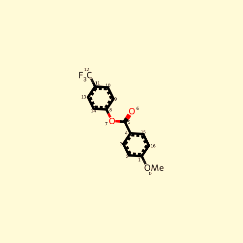 COc1ccc(C(=O)Oc2ccc(C(F)(F)F)cc2)cc1